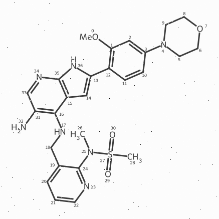 COc1cc(N2CCOCC2)ccc1-c1cc2c(NCc3cccnc3N(C)S(C)(=O)=O)c(N)cnc2[nH]1